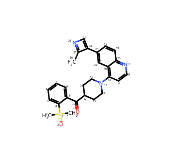 C[SH](C)(=O)c1ccccc1C(=O)C1CCN(c2ccnc3ccc(C4=CN=C4C(F)(F)F)cc23)CC1